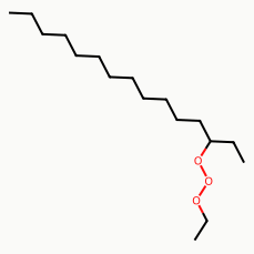 CCCCCCCCCCCCC(CC)OOOCC